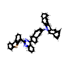 c1ccc2cc3c(cc2c1)c1cc2ccccc2cc1n3-c1ccc2cc(-c3nc(-c4cccc5c4sc4ccccc45)nc4ccccc34)ccc2c1